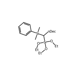 CCCCCCCCCCC([Si](OCC)(OCC)OCC)[Si](C)(C)c1ccccc1